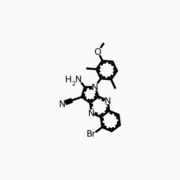 COc1ccc(C)c(-n2c(N)c(C#N)c3nc4c(Br)cccc4nc32)c1C